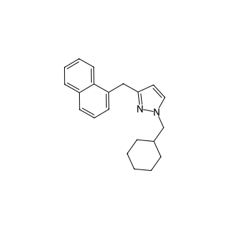 c1ccc2c(Cc3ccn(CC4CCCCC4)n3)cccc2c1